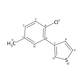 Cc1ccc(Cl)c(-c2ccsc2)c1